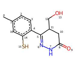 Cc1ccc(C2=NNC(=O)CC2CO)c(S)c1